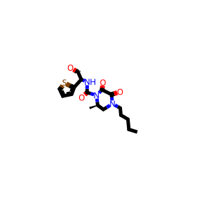 CCCCCN1C[C@@H](C)N(C(=O)NC([C]=O)c2cccs2)C(=O)C1=O